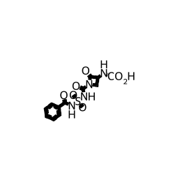 O=C(O)NC1CN(C(=O)NS(=O)(=O)NC(=O)c2ccccc2)C1=O